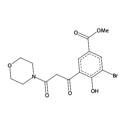 COC(=O)c1cc(Br)c(O)c(C(=O)CC(=O)N2CCOCC2)c1